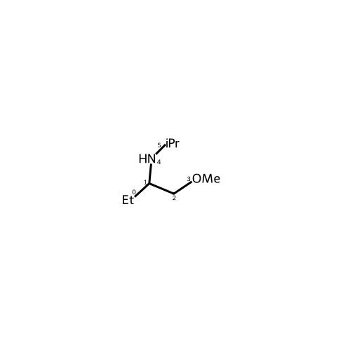 CCC(COC)NC(C)C